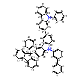 c1ccc(-c2cccc(-n3c4ccc(-c5ccc6c7ccccc7n(-c7ccccc7)c6c5)cc4c4cc(C5(c6ccccc6)c6ccccc6-c6ccccc65)ccc43)c2)cc1